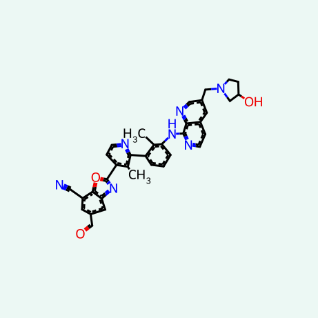 Cc1c(Nc2nccc3cc(CN4CCC(O)C4)cnc23)cccc1-c1nccc(-c2nc3cc(C=O)cc(C#N)c3o2)c1C